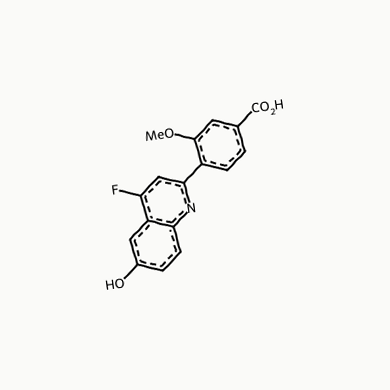 COc1cc(C(=O)O)ccc1-c1cc(F)c2cc(O)ccc2n1